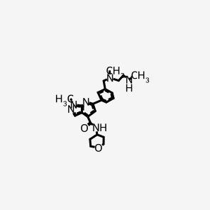 CNCCN(C)Cc1cccc(-c2cc(C(=O)NC3CCOCC3)c3cnn(C)c3n2)c1